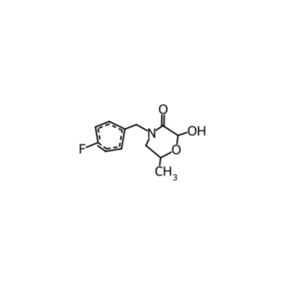 CC1CN(Cc2ccc(F)cc2)C(=O)C(O)O1